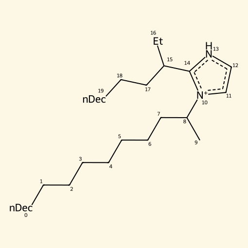 CCCCCCCCCCCCCCCCCC(C)[n+]1cc[nH]c1C(CC)CCCCCCCCCCCC